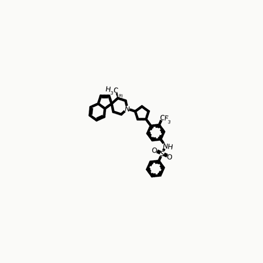 C[C@H]1CN(C2CCC(c3ccc(NS(=O)(=O)c4ccccc4)cc3C(F)(F)F)C2)CCC12C=CC1C=CC=CC12